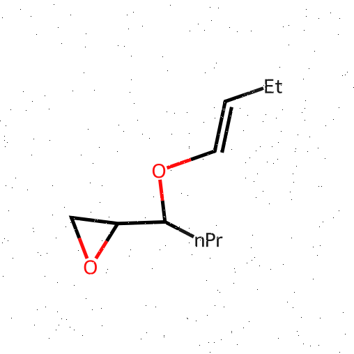 CCC=COC(CCC)C1CO1